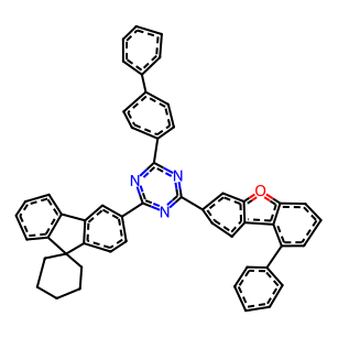 c1ccc(-c2ccc(-c3nc(-c4ccc5c(c4)-c4ccccc4C54CCCCC4)nc(-c4ccc5c(c4)oc4cccc(-c6ccccc6)c45)n3)cc2)cc1